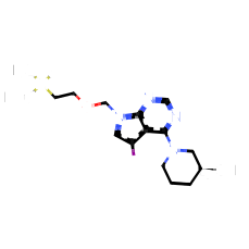 C[C@H]1CCCN(c2ncnc3c2c(I)cn3COCCS(C)(C)C)C1